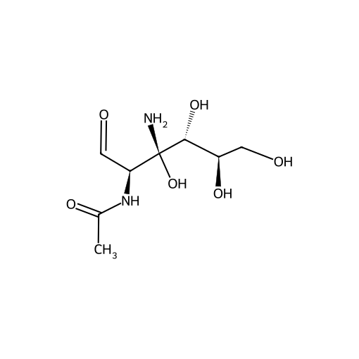 CC(=O)N[C@@H](C=O)[C@@](N)(O)[C@H](O)[C@H](O)CO